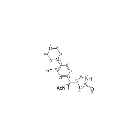 CC(=O)N[C@@H](c1ccc(N2CCOCC2)c(F)c1)C1CNC(=O)O1